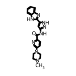 CN1CCN(c2ccc(C(=O)Nc3cc(-c4nc5ccccc5[nH]4)[nH]n3)nc2)CC1